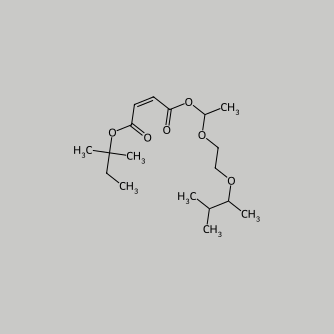 CCC(C)(C)OC(=O)/C=C\C(=O)OC(C)OCCOC(C)C(C)C